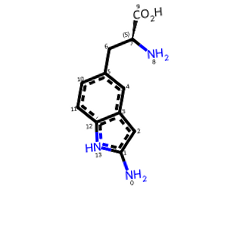 Nc1cc2cc(C[C@H](N)C(=O)O)ccc2[nH]1